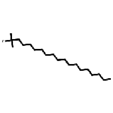 CCCCCCCCCCCCCCCCCC(C)(C)Cl